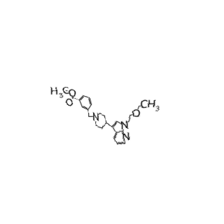 CCOCCn1cc(C2CCN(Cc3cccc(C(=O)OC)c3)CC2)c2cccnc21